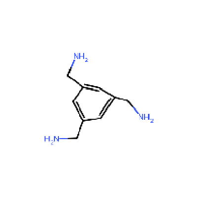 NCc1[c]c(CN)cc(CN)c1